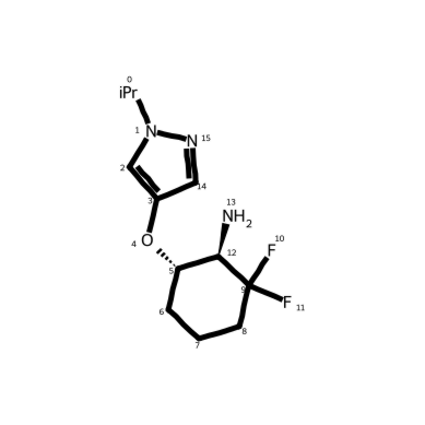 CC(C)n1cc(O[C@H]2CCCC(F)(F)[C@@H]2N)cn1